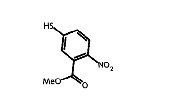 COC(=O)c1cc(S)ccc1[N+](=O)[O-]